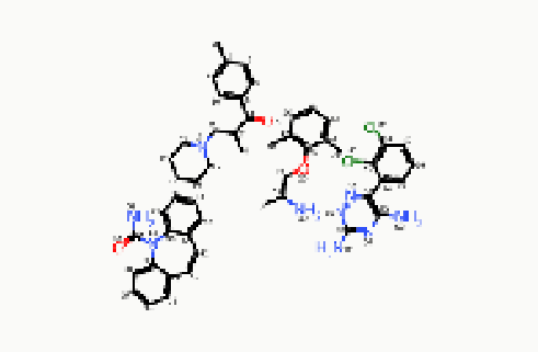 Cc1ccc(C(=O)C(C)CN2CCCCC2)cc1.Cc1cccc(C)c1OCC(C)N.NC(=O)N1c2ccccc2C=Cc2ccccc21.Nc1nnc(-c2cccc(Cl)c2Cl)c(N)n1